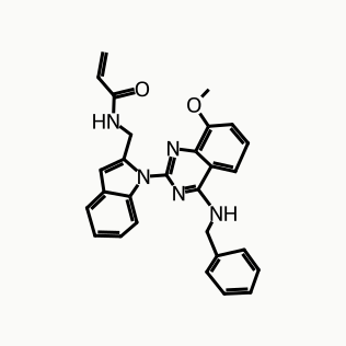 C=CC(=O)NCc1cc2ccccc2n1-c1nc(NCc2ccccc2)c2cccc(OC)c2n1